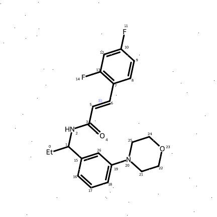 CCC(NC(=O)/C=C/c1ccc(F)cc1F)c1cccc(N2CCOCC2)c1